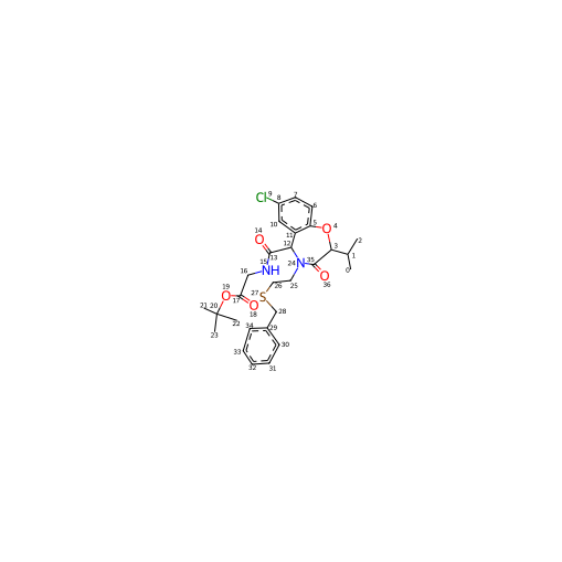 CC(C)C1Oc2ccc(Cl)cc2C(C(=O)NCC(=O)OC(C)(C)C)N(CCSCc2ccccc2)C1=O